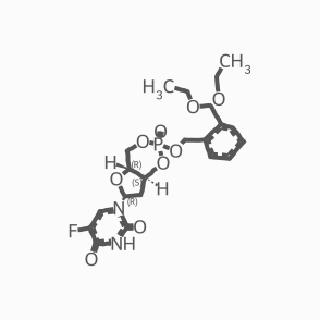 CCOC(OCC)c1ccccc1COP1(=O)OC[C@H]2O[C@@H](n3cc(F)c(=O)[nH]c3=O)C[C@@H]2O1